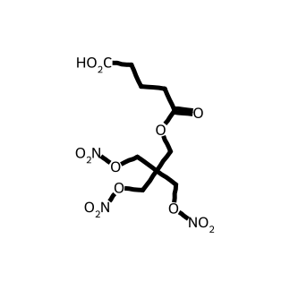 O=C(O)CCCC(=O)OCC(CO[N+](=O)[O-])(CO[N+](=O)[O-])CO[N+](=O)[O-]